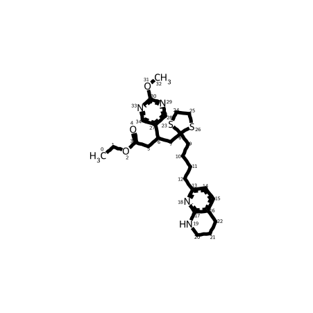 CCOC(=O)CC(CC1(CCCCc2ccc3c(n2)NCCC3)SCCS1)c1cnc(OC)nc1